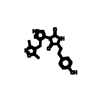 Cc1noc(C)c1Cc1n[nH]cc1N1C(=O)NC(CCc2ccc(O)cc2)C1=O